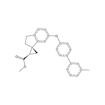 COC(=O)[C@@H]1C[C@]12CCc1ccc(Oc3ccc(-c4cccc(C)c4)cc3)cc12